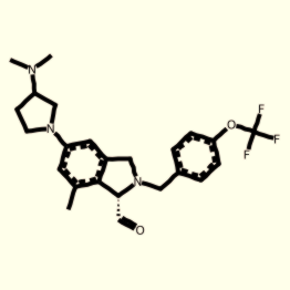 Cc1cc(N2CCC(N(C)C)C2)cc2c1[C@@H](C=O)N(Cc1ccc(OC(F)(F)F)cc1)C2